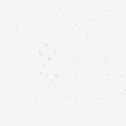 O=C(O)COc1ccc(Nc2nc(-c3ccc4cn[nH]c4c3)cn3ccnc23)cc1